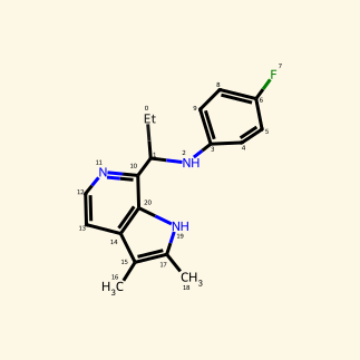 CCC(Nc1ccc(F)cc1)c1nccc2c(C)c(C)[nH]c12